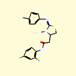 CCCCc1ccc(N=C2SCC(CC(=O)Nc3ccc(Cl)cc3F)N2C)cc1.Cl